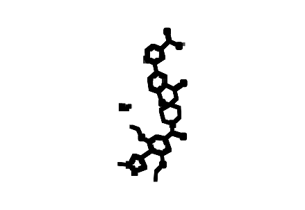 CCOc1cc(C(=O)N2CCC3(CC2)CC(=O)c2cc(-c4cc(C(=O)[O-])ccn4)ccc2O3)cc(OCC)c1-c1cnn(C)c1.[Na+]